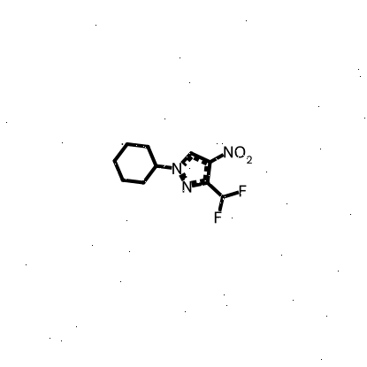 O=[N+]([O-])c1cn(C2C[CH]CCC2)nc1C(F)F